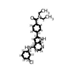 CCN(CC)C(=O)c1ccc(-c2cc3c(Nc4cccc(Cl)c4)ncnc3[nH]2)cc1